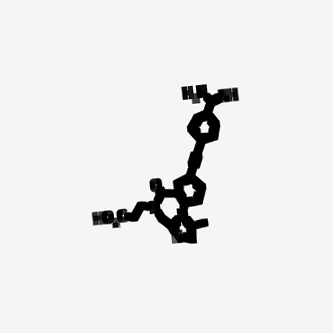 Cc1cnc2n1-c1ccc(C#Cc3ccc(C(=N)N)cc3)cc1C(=O)N(CCC(=O)O)C2